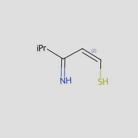 CC(C)C(=N)/C=C\S